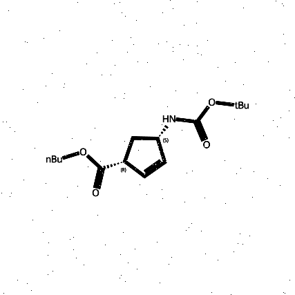 CCCCOC(=O)[C@H]1C=C[C@@H](NC(=O)OC(C)(C)C)C1